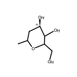 CC1C[C@@H](O)C(O)C(CO)O1